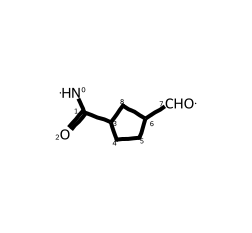 [NH]C(=O)C1CCC([C]=O)C1